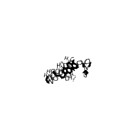 C/C=C1/C(O[C@H]2CN(C3COC3)CCO2)CCC23CC24CCC2(C)C5C(OC(C(Oc6ncccn6)C(C)(C)O)C[C@H]5C)[C@H](O)[C@@]2(C)C4CC[C@@H]13